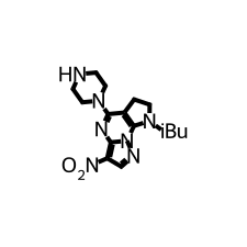 CCC(C)N1CCc2c(N3CCNCC3)nc3c([N+](=O)[O-])cnn3c21